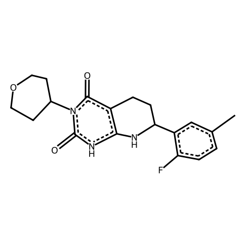 Cc1ccc(F)c(C2CCc3c([nH]c(=O)n(C4CCOCC4)c3=O)N2)c1